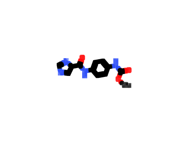 CC(C)(C)OC(=O)Nc1ccc(NC(=O)C2C=NC=N2)cc1